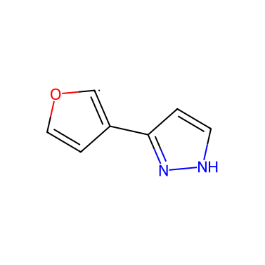 [c]1occc1-c1cc[nH]n1